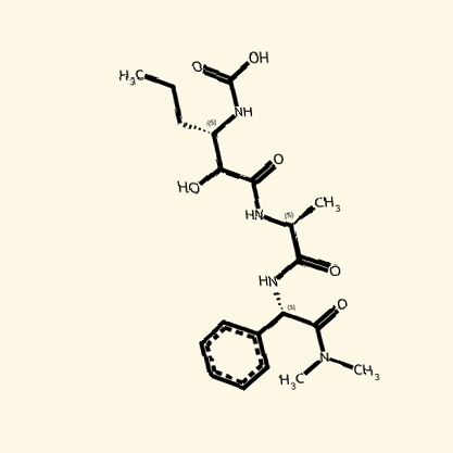 CCC[C@H](NC(=O)O)C(O)C(=O)N[C@@H](C)C(=O)N[C@H](C(=O)N(C)C)c1ccccc1